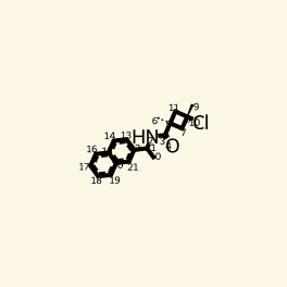 CC(NC(=O)[C@]1(C)C[C@@](C)(Cl)C1)c1ccc2ccccc2c1